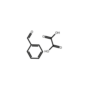 O=C(O)C(=O)O.O=Cc1ccccc1